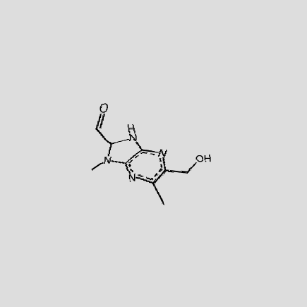 Cc1nc2c(nc1CO)NC(C=O)N2C